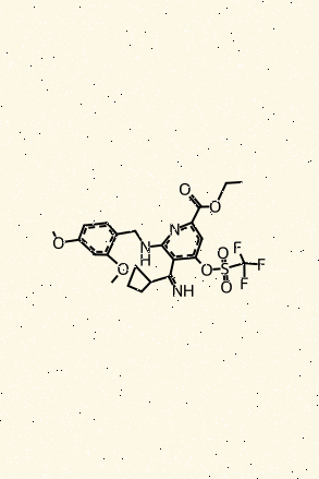 CCOC(=O)c1cc(OS(=O)(=O)C(F)(F)F)c(C(=N)C2CCC2)c(NCc2ccc(OC)cc2OC)n1